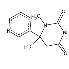 CN1C(=O)NC(=O)CC1(C)c1cccnc1